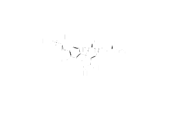 CCOC(=O)CCN1C=C(C(C)C)[C@](C)(c2ccc(CCC(C)(C)O)c(Cl)c2)NC1=O